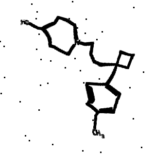 Cc1ccc(C2(CCN3CCC(O)CC3)CCC2)cc1